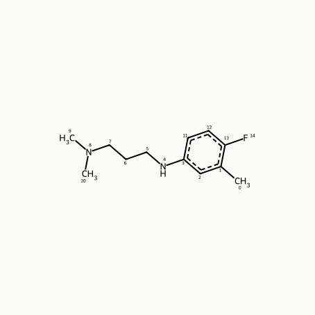 Cc1cc(NCCCN(C)C)ccc1F